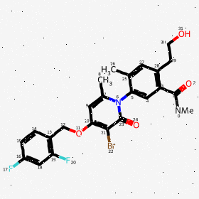 CNC(=O)c1cc(-n2c(C)cc(OCc3ccc(F)cc3F)c(Br)c2=O)c(C)cc1CCO